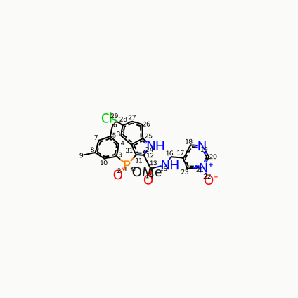 COP(=O)(c1cc(C)cc(C)c1)c1c(C(=O)NCc2cnc[n+]([O-])c2)[nH]c2ccc(Cl)cc12